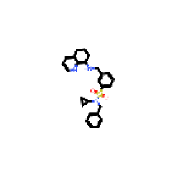 O=S(=O)(c1cccc(CNC2CCCc3cccnc32)c1)N(Cc1ccccc1)C1CC1